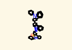 O=S1(c2ccccc2)=Nc2ccccc2-c2cc(-n3c4ccccc4c4cc(-c5ccc6c(c5)c5ccccc5n6-c5ccccc5)ccc43)ccc21